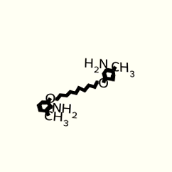 Cc1ccc(OCCCCCCCCCCOc2cccc(C)c2N)cc1N